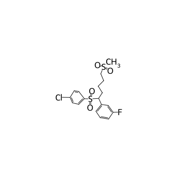 CS(=O)(=O)CCCCC(c1cccc(F)c1)S(=O)(=O)c1ccc(Cl)cc1